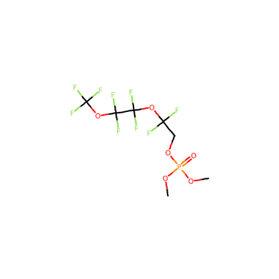 COP(=O)(OC)OCC(F)(F)OC(F)(F)C(F)(F)OC(F)(F)F